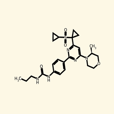 CCCNC(=O)Nc1ccc(-c2nc(N3CCOC[C@@H]3C)cc(C3(S(=O)(=O)C4CC4)CC3)n2)cc1